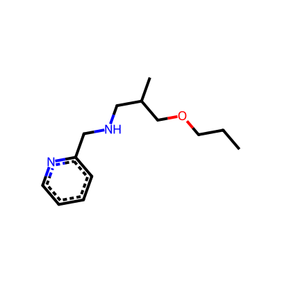 CCCOCC(C)CNCc1ccccn1